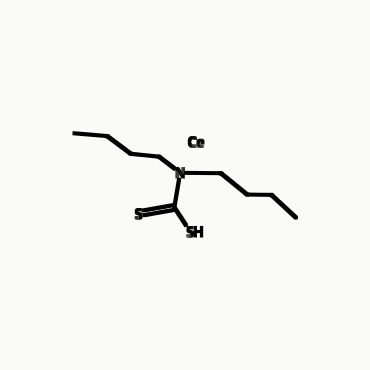 CCCCN(CCCC)C(=S)S.[Ce]